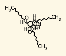 CCCCCCCC(=O)NC1CC(NC(=O)CCCCCCC)C(O)(O)C(O)(NC(=O)CCCCCCC)C1